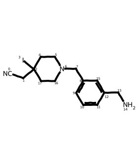 N#CCC1(I)CCN(Cc2cccc(CN)c2)CC1